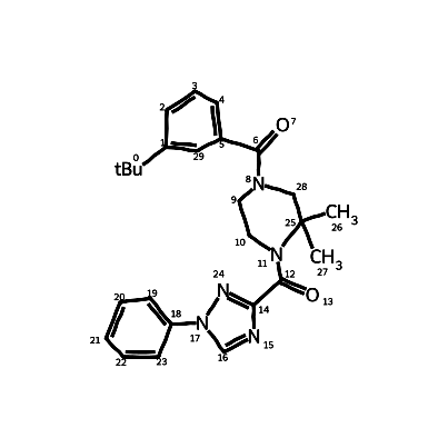 CC(C)(C)c1cccc(C(=O)N2CCN(C(=O)c3ncn(-c4ccccc4)n3)C(C)(C)C2)c1